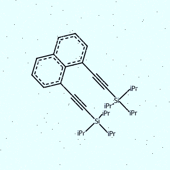 CC(C)[Si](C#Cc1cccc2cccc(C#C[Si](C(C)C)(C(C)C)C(C)C)c12)(C(C)C)C(C)C